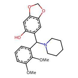 COc1cccc(C(c2cc3c(cc2O)OCO3)N2CCCCC2)c1OC